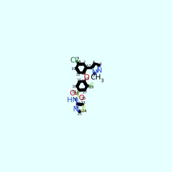 Cn1nccc1-c1cc(Cl)ccc1Oc1ccc(S(=O)(=O)Nc2cscn2)cc1F